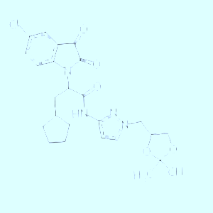 CC1(C)OCC(Cn2ccc(NC(=O)C(CC3CCCC3)N3C(=O)C(=O)c4cc(Cl)ccc43)n2)O1